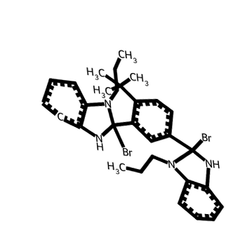 CCCN1c2ccccc2NC1(Br)c1ccc(C(C)(C)C)c(C2(Br)Nc3ccccc3N2CCC)c1